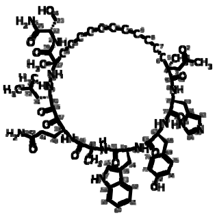 CC(=O)C[C@]1(C)CCCCCCCCCCC[C@@](C)(C(=O)N[C@@H](CO)C(N)=O)NN[C@@H](CC(C)C)C(=O)C(=O)[C@H](CCC(N)=O)NC(=O)C(C)NC(=O)[C@H](Cc2c[nH]c3ccccc23)NC(=O)[C@H](Cc2ccc(O)cc2)NC(=O)[C@H](Cc2cnc[nH]2)NC1=O